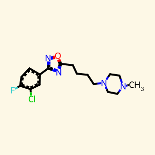 CN1CCN(CCCCc2nc(-c3ccc(F)c(Cl)c3)no2)CC1